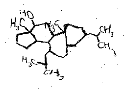 CC(C)C1CCC2(C)C(C1)CC(C(C)C)C1C3CCCC3(C)C(O)CC12